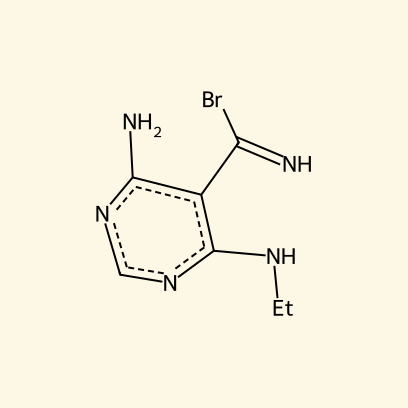 CCNc1ncnc(N)c1C(=N)Br